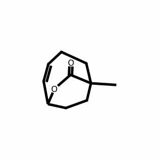 CC12CC/C=C\C(CC1)OC2=O